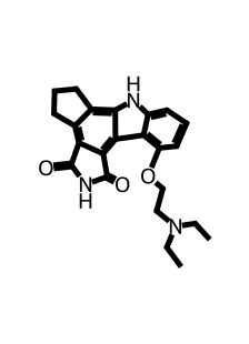 CCN(CC)CCOc1cccc2[nH]c3c4c(c5c(c3c12)C(=O)NC5=O)CCC4